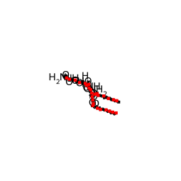 CCCCCCCCCCCCCCC(C)C(=O)OCC[C@H](CSC[C@H](N)C(=O)N[C@@H](CO)C(=O)NCCOCCOCCC(=O)NCC(N)=O)OC(=O)C(C)CCCCCCCCCCCCCC